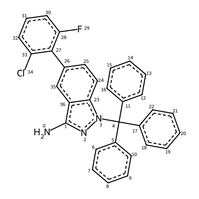 Nc1nn(C(c2ccccc2)(c2ccccc2)c2ccccc2)c2ccc(-c3c(F)cccc3Cl)cc12